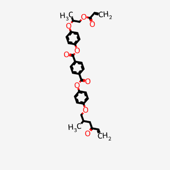 C=CC(=O)CC(C)COc1ccc(OC(=O)c2ccc(C(=O)Oc3ccc(OC(C)COC(=O)C=C)cc3)cc2)cc1